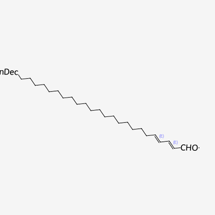 CCCCCCCCCCCCCCCCCCCCCCCCCCCCC/C=C/C=C/[C]=O